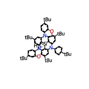 CC(C)(C)c1ccc(N2c3cc(C(C)(C)C)c4c5c3[Si]3(C)c6c(cc(C(C)(C)C)cc6N6c7ccc(C(C)(C)C)cc7Oc7c(C(C)(C)C)cc2c3c76)N5c2ccc(C(C)(C)C)cc2O4)cc1